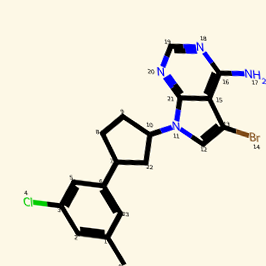 Cc1cc(Cl)cc(C2CCC(n3cc(Br)c4c(N)ncnc43)C2)c1